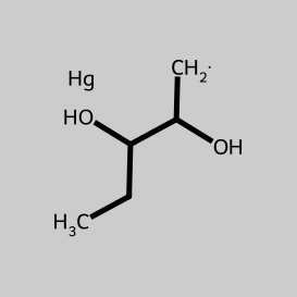 [CH2]C(O)C(O)CC.[Hg]